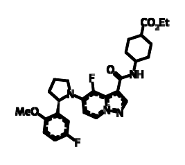 CCOC(=O)C1CCC(NC(=O)c2cnn3ccc(N4CCC[C@@H]4c4cc(F)ccc4OC)c(F)c23)CC1